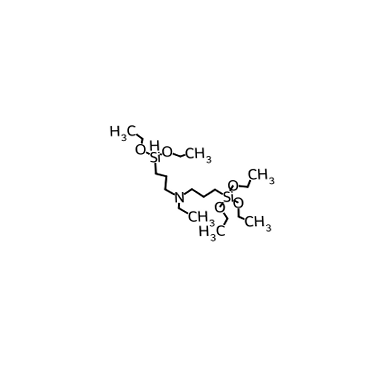 CCO[SiH](CCCN(CC)CCC[Si](OCC)(OCC)OCC)OCC